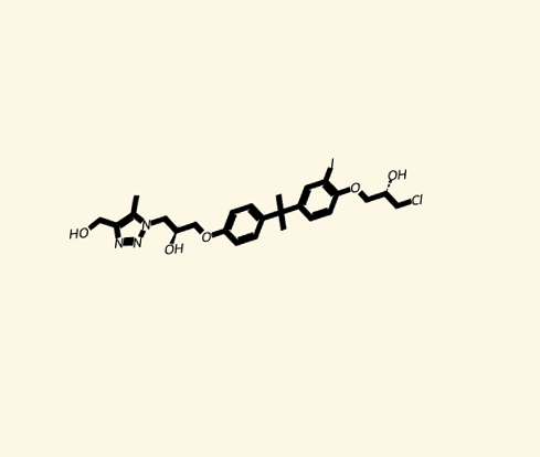 Cc1c(CO)nnn1C[C@H](O)COc1ccc(C(C)(C)c2ccc(OC[C@H](O)CCl)c(I)c2)cc1